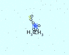 CC1(C)c2ccccc2-c2c(-c3nc(-c4ccccc4)nc(-c4ccc(-c5ccc6sc7ccccc7c6c5)cc4)n3)cccc21